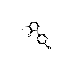 CC(C)c1ccc(-n2cccc(C(F)(F)F)c2=O)cn1